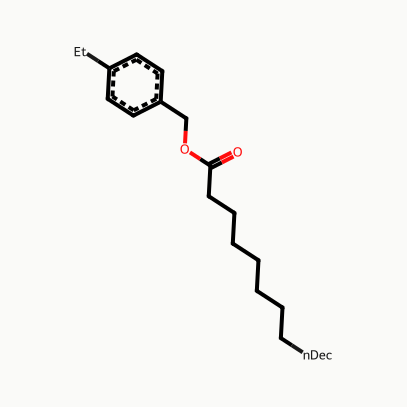 CCCCCCCCCCCCCCCCCC(=O)OCc1ccc(CC)cc1